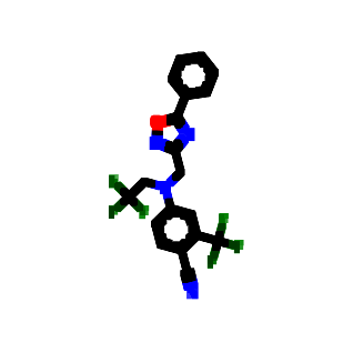 N#Cc1ccc(N(Cc2noc(-c3ccccc3)n2)CC(F)(F)F)cc1C(F)(F)F